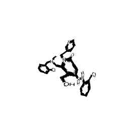 CN(Cc1ccccc1Cl)Cc1c(CO)c(NNc2ccccc2Cl)cc(=O)n1Cc1cccnc1